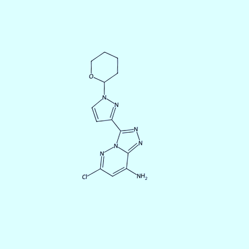 Nc1cc(Cl)nn2c(-c3ccn(C4CCCCO4)n3)nnc12